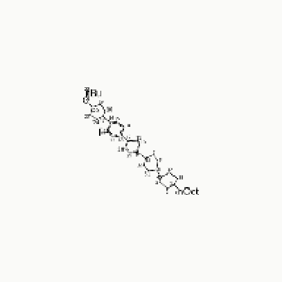 CCCCCCCCC1CCC(C2CCC(c3ccc(-c4ccc(C5CCC(OCCCC)CC5)c(F)c4)cc3)CC2)CC1